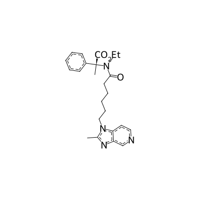 CCOC(=O)[C@@](C)(c1ccccc1)N(C)C(=O)CCCCCn1c(C)nc2cnccc21